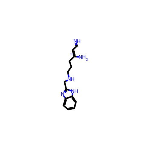 N=C/C=C(\N)CCCNCc1nc2ccccc2[nH]1